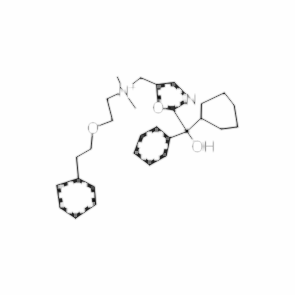 C[N+](C)(CCOCCc1ccccc1)Cc1cnc(C(O)(c2ccccc2)C2CCCCC2)o1